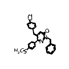 CSc1ccc(-c2nn(Cc3ccccc3)c(=O)cc2Cc2ccc(Cl)cc2)cc1